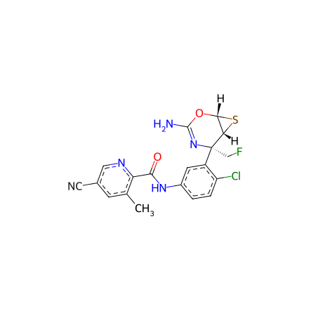 Cc1cc(C#N)cnc1C(=O)Nc1ccc(Cl)c([C@@]2(CF)N=C(N)O[C@@H]3S[C@@H]32)c1